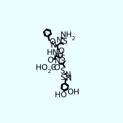 Nc1nc(C(=NOCc2ccccc2)C(=O)N[C@@H]2C(=O)N3C(OC(=O)O)=C(CSc4nnc(-c5ccc(O)c(O)c5)s4)CS[C@@H]23)cs1